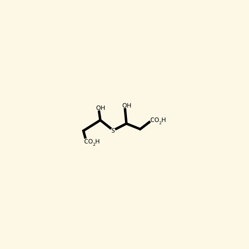 O=C(O)CC(O)SC(O)CC(=O)O